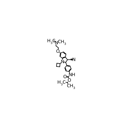 CC(C)OC(=O)Nc1ccc(C2C(C#N)c3ccc(OCCN(C)C)cc3N2C2CCC2)cc1